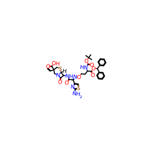 C=CC1(C(=O)O)CS[C@@H]2C(NC(=O)C(=NOCCC(NC(=O)OC(C)(C)C)C(=O)OC(c3ccccc3)c3ccccc3)c3csc(N)n3)C(=O)N2C1